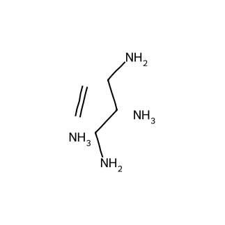 C=C.N.N.NCCCN